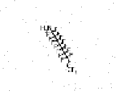 NC(F)(F)C(F)(F)C(F)(F)C(F)(F)C(F)(F)C(F)(F)C(F)(F)CCC(F)(F)F